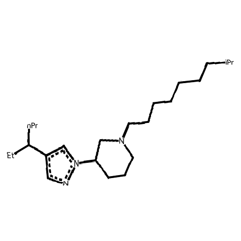 CCCC(CC)c1cnn(C2CCCN(CCCCCCCC(C)C)C2)c1